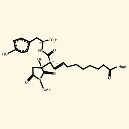 CCCCCCCC(=O)CCCCCC/C=C/[C@H](C(=O)N[C@@H](Cc1ccc(O)cc1)C(=O)O)[C@@]1(O)CC(=O)N(OC)C1=O